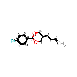 C=CCCC1COC(c2ccc(F)cc2)OC1